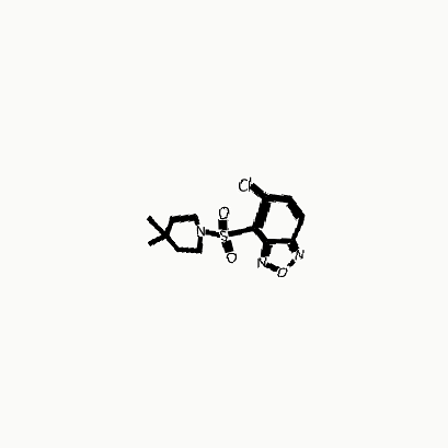 CC1(C)CCN(S(=O)(=O)c2c(Cl)ccc3nonc23)CC1